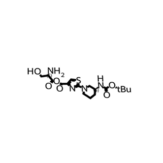 CC(C)(C)OC(=O)N[C@H]1CCCN(c2nc(C(=O)OC(=O)[C@@H](N)CO)cs2)C1